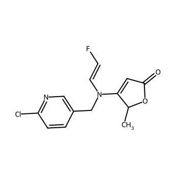 CC1OC(=O)C=C1N(C=CF)Cc1ccc(Cl)nc1